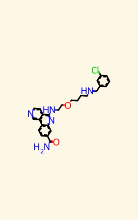 NC(=O)c1ccc2c(c1)nc(NCCOCCCCNCc1cccc(Cl)c1)c1ccncc12